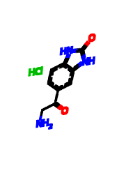 Cl.NCC(=O)c1ccc2[nH]c(=O)[nH]c2c1